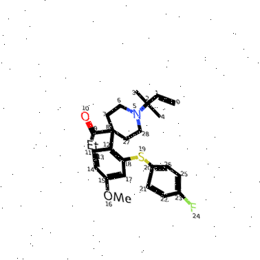 C=CC(C)(C)N1CCC(C(=O)CC)(c2ccc(OC)cc2Sc2ccc(F)cc2)CC1